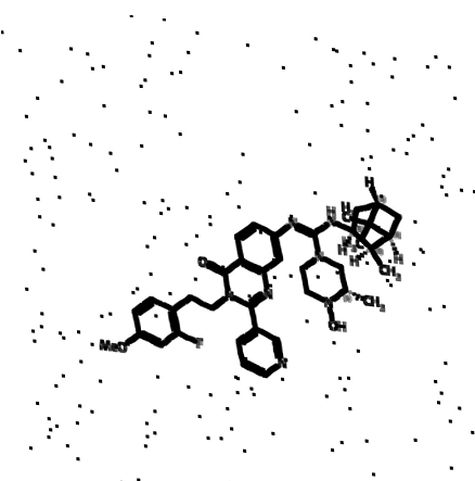 COc1ccc(CCn2c(-c3cccnc3)nc3cc(N=C(N[C@H]4C[C@@H]5C[C@@H]([C@H]4C)C5(C)C)N4CCN(O)[C@@H](C)C4)ccc3c2=O)c(F)c1